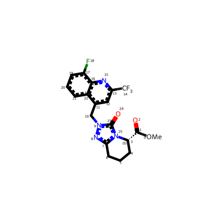 COC(=O)[C@@H]1CCCc2nn(Cc3cc(C(F)(F)F)nc4c(F)cccc34)c(=O)n21